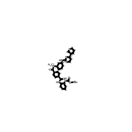 CN(C(=O)c1ccc(C(=O)Nc2ccccc2NC(=O)OC(C)(C)C)cc1)c1cccc(Nc2nccc(-c3cccnc3)n2)c1